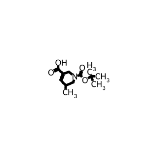 CC1C=C(C(=O)O)CN(C(=O)OC(C)(C)C)C1